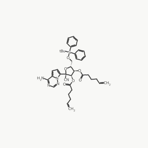 C=CCCCC(=O)O[C@H]1[C@@H](OC(=O)CCCC=C)[C@](C#N)(c2ccc3c(N)ncnn23)O[C@@H]1CO[Si](c1ccccc1)(c1ccccc1)C(C)(C)C